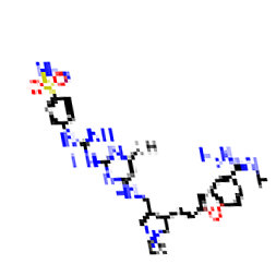 [H]/N=C(/N)c1ccc2oc(C=CC3CN(CC)CC3CNc3cc(C)nc(NC(=N)Nc4ccc(S(N)(=O)=O)cc4)n3)cc2c1